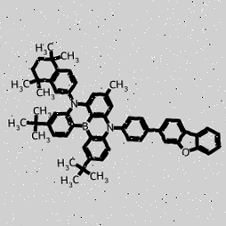 Cc1cc2c3c(c1)N(c1ccc4c(c1)C(C)(C)CCC4(C)C)c1cc(C(C)(C)C)ccc1B3c1cc(C(C)(C)C)ccc1N2c1ccc(-c2ccc3c(c2)oc2ccccc23)cc1